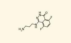 NCCCNc1n[nH]c(=O)c2c(F)ccc(F)c12